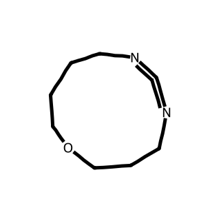 C1=NCCCCOCCCN=1